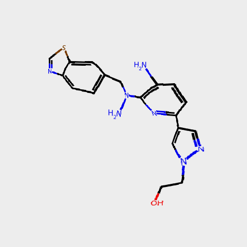 Nc1ccc(-c2cnn(CCO)c2)nc1N(N)Cc1ccc2ncsc2c1